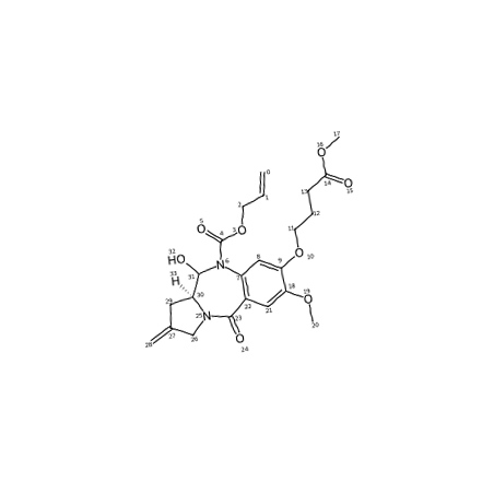 C=CCOC(=O)N1c2cc(OCCCC(=O)OC)c(OC)cc2C(=O)N2CC(=C)C[C@H]2C1O